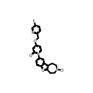 O=c1cc(OCc2ccc(F)cn2)ccn1-c1ccc2oc3c(c2c1)CCN(Cl)CC3